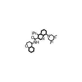 CC(C)c1c(C(=O)N[C@H]2CCOc3ccccc32)cnc2c(N3C[C@H](C)C[C@H](C)C3)cccc12